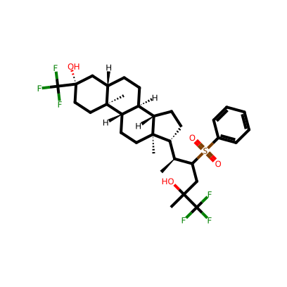 C[C@H](C(CC(C)(O)C(F)(F)F)S(=O)(=O)c1ccccc1)[C@H]1CC[C@H]2[C@@H]3CC[C@H]4C[C@](O)(C(F)(F)F)CC[C@]4(C)[C@H]3CC[C@]12C